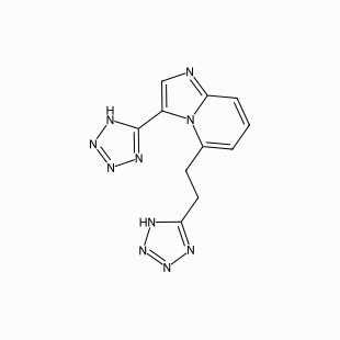 c1cc(CCc2nnn[nH]2)n2c(-c3nnn[nH]3)cnc2c1